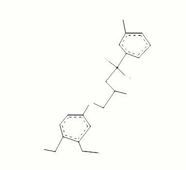 CC(COc1ccc(CO)c(CO)c1)CC(N)(O)c1cccc(Cl)c1